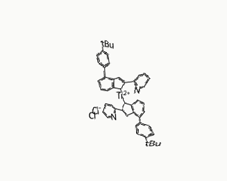 CC(C)(C)c1ccc(-c2cccc3c2C=C(c2ccccn2)[CH]3[Ti+2][CH]2C(c3ccccn3)=Cc3c(-c4ccc(C(C)(C)C)cc4)cccc32)cc1.[Cl-].[Cl-]